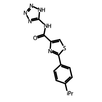 CC(C)c1ccc(-c2nc(C(=O)Nc3nnn[nH]3)cs2)cc1